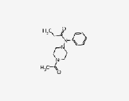 CCC(=O)N(c1cc[c]cc1)N1CCN(C(C)=O)CC1